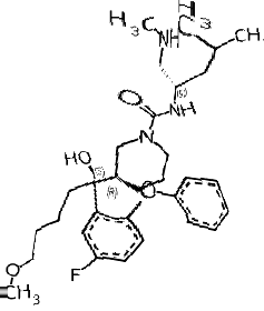 CNC[C@H](CC(C)C)NC(=O)N1CCC[C@@H]([C@@](O)(CCCCOC)c2cc(F)ccc2Oc2ccccc2)C1